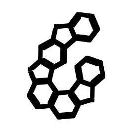 c1ccc2c(c1)sc1cc3sc4ccc5ccc6sc7ccccc7c6c5c4c3cc12